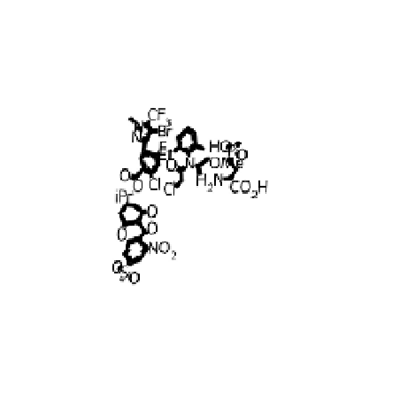 CC(C)OC(=O)c1cc(-c2nn(C)c(C(F)(F)F)c2Br)c(F)cc1Cl.CCc1cccc(C)c1N(C(=O)CCl)C(C)COC.CP(=O)(O)CCC(N)C(=O)O.CS(=O)(=O)c1ccc(C(=O)C2C(=O)CCCC2=O)c([N+](=O)[O-])c1